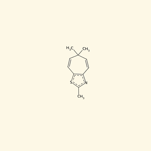 Cc1nc2c(s1)C=CC(C)(C)C=C2